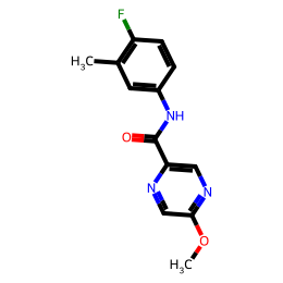 COc1cnc(C(=O)Nc2ccc(F)c(C)c2)cn1